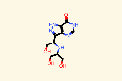 O=c1[nH]cnc2c([C@H](CO)NC(CO)CO)n[nH]c12